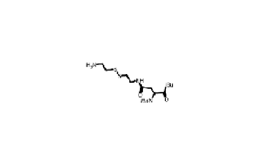 CCC(C)C(=O)C(CC(=O)NCCSSCCN)NC